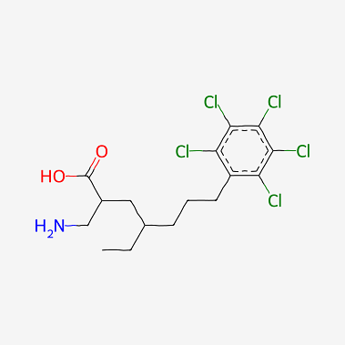 CCC(CCCc1c(Cl)c(Cl)c(Cl)c(Cl)c1Cl)CC(CN)C(=O)O